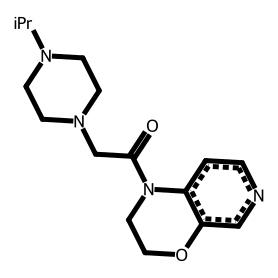 CC(C)N1CCN(CC(=O)N2CCOc3cnccc32)CC1